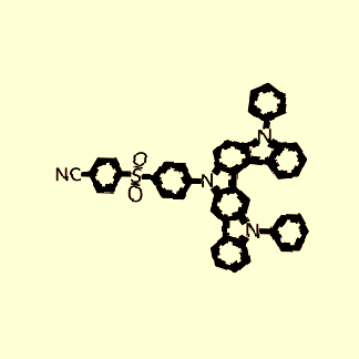 N#Cc1ccc(S(=O)(=O)c2ccc(-n3c4cc5c6ccccc6n(-c6ccccc6)c5cc4c4c5c6ccccc6n(-c6ccccc6)c5ccc43)cc2)cc1